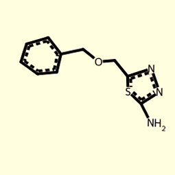 Nc1nnc(COCc2ccccc2)s1